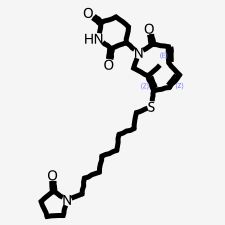 C\C1=C(SCCCCCCCCN2CCCC2=O)/C=C\C=C\C(=O)N(C2CCC(=O)NC2=O)C1